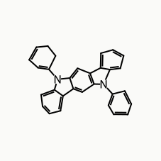 C1=CCCC(n2c3ccccc3c3cc4c(cc32)c2ccccc2n4-c2ccccc2)=C1